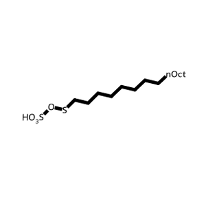 CCCCCCCCCCCCCCCCSOS(=O)(=O)O